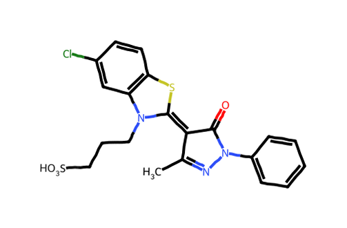 CC1=NN(c2ccccc2)C(=O)C1=C1Sc2ccc(Cl)cc2N1CCCS(=O)(=O)O